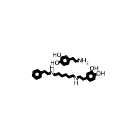 NCCc1ccc(O)c(O)c1.Oc1ccc(CCNCCCCCCNCCc2ccccc2)cc1O